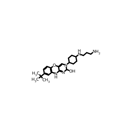 CC(C)(C)c1ccc2c(c1)NC1=NC(O)N(C3CCC(NCCCN)CC3)C=C1O2